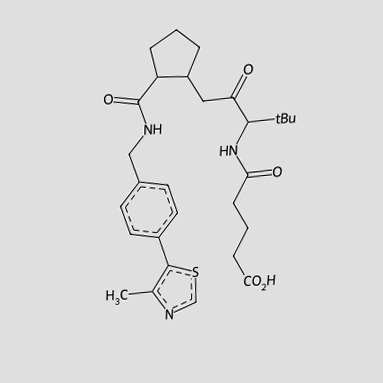 Cc1ncsc1-c1ccc(CNC(=O)C2CCCC2CC(=O)C(NC(=O)CCCC(=O)O)C(C)(C)C)cc1